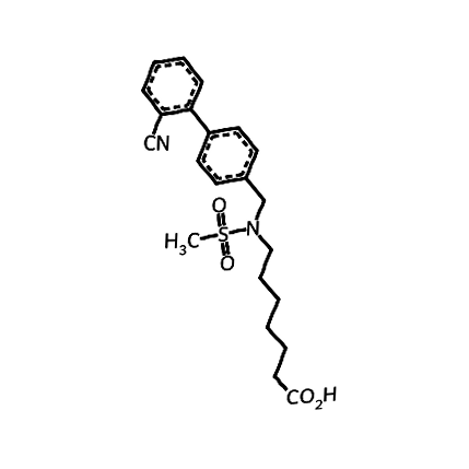 CS(=O)(=O)N(CCCCCCC(=O)O)Cc1ccc(-c2ccccc2C#N)cc1